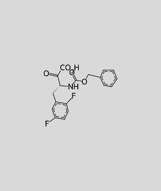 O=C(N[C@H](Cc1cc(F)ccc1F)C(=O)C(=O)O)OCc1ccccc1